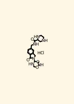 Cl.O=C(NCc1ccc2c(c1)CN(C1NCONO1)C2=O)C1CNCCN1